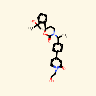 CC(c1ccc(-c2ccn(CCO)c(=O)c2)cc1)N1CC[C@](CC(C)(C)O)(c2ccccc2)OC1=O